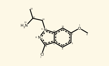 COc1ccc2c(Cl)nn(CC(C)N)c2c1